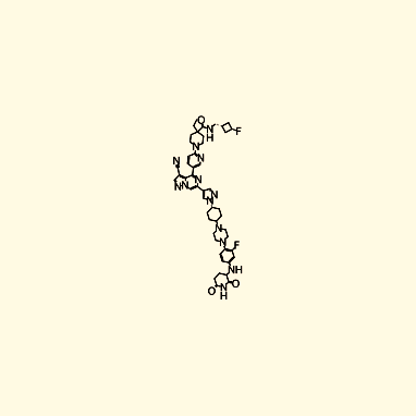 CCC1(C(=O)NC[C@H]2C[C@H](F)C2)CCN(c2ccc(-c3nc(-c4cnn([C@H]5CC[C@H](N6CCN(c7ccc(NC8CCC(=O)NC8=O)cc7F)CC6)CC5)c4)cn4ncc(C#N)c34)cn2)CC1